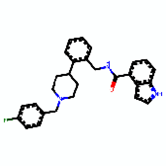 O=C(NCc1ccccc1C1CCN(Cc2ccc(F)cc2)CC1)c1cccc2[nH]ccc12